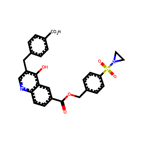 O=C(O)c1ccc(Cc2cnc3ccc(C(=O)OCc4ccc(S(=O)(=O)N5CC5)cc4)cc3c2O)cc1